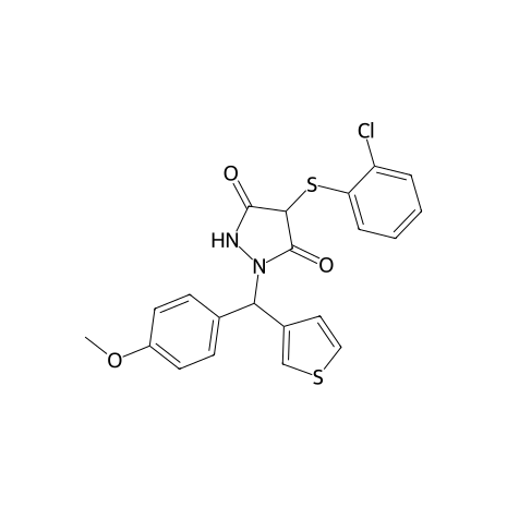 COc1ccc(C(c2ccsc2)N2NC(=O)C(Sc3ccccc3Cl)C2=O)cc1